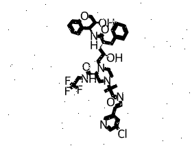 CC(C)(c1ncc(-c2cncc(Cl)c2)o1)N1CCN(C[C@@H](O)C[C@@H](Cc2ccccc2)C(=O)N[C@H]2c3ccccc3OC[C@H]2O)[C@H](C(=O)NCC(F)(F)F)C1